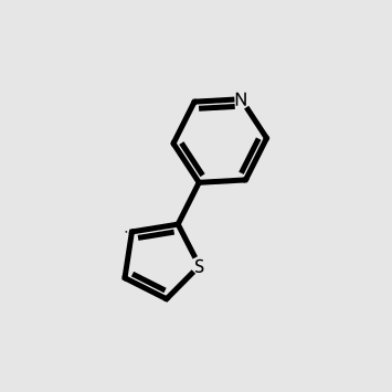 [c]1ccsc1-c1ccncc1